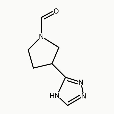 O=CN1CCC(c2nnc[nH]2)C1